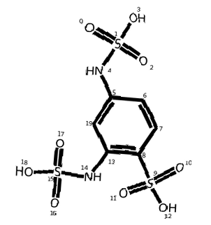 O=S(=O)(O)Nc1ccc(S(=O)(=O)O)c(NS(=O)(=O)O)c1